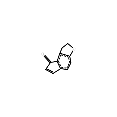 O=C1C=Cc2ccc3c(c21)CCO3